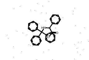 O=C(Cl)C(NC(c1ccccc1)(c1ccccc1)c1ccccc1)c1ccccc1